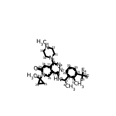 Cc1c([C@@H](C)Nc2nnc(N3CCN(C)CC3)c3cc(=O)n(C4(C)CC4)cc23)cccc1C(F)(F)F